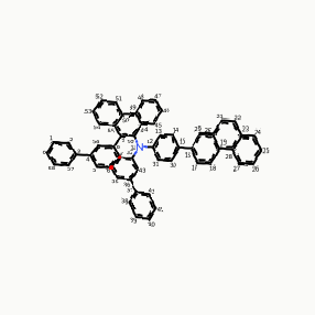 c1ccc(-c2cccc(-c3c(N(c4ccc(-c5ccc6c(ccc7ccccc76)c5)cc4)c4cccc(-c5ccccc5)c4)c4ccccc4c4ccccc34)c2)cc1